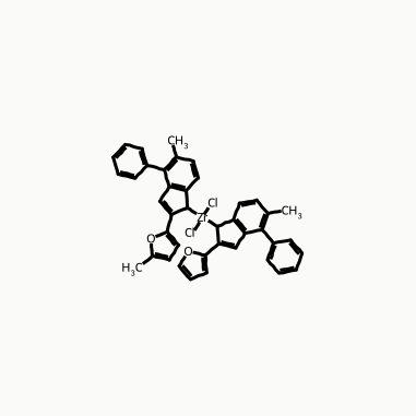 Cc1ccc(C2=Cc3c(ccc(C)c3-c3ccccc3)[CH]2[Zr]([Cl])([Cl])[CH]2C(c3ccco3)=Cc3c2ccc(C)c3-c2ccccc2)o1